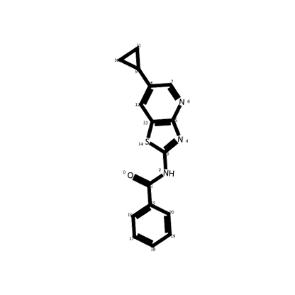 O=C(Nc1nc2ncc(C3CC3)cc2s1)c1ccccc1